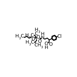 CCCCCO[C@@](CC(C)C)(OC(=O)NCCC(C(=O)O)c1ccc(Cl)cc1)C(C)C